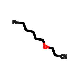 CC(C)CCCCCOCCC#N